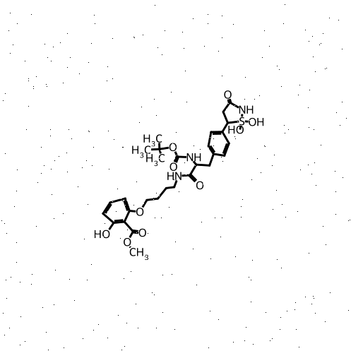 COC(=O)c1c(O)cccc1OCCCCNC(=O)C(Cc1ccc(C2CC(=O)NS2(O)O)cc1)NC(=O)OC(C)(C)C